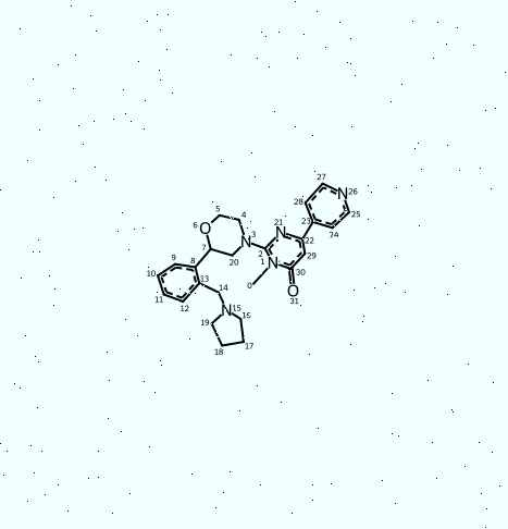 Cn1c(N2CCOC(c3ccccc3CN3CCCC3)C2)nc(-c2ccncc2)cc1=O